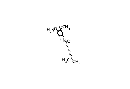 COc1cc(CNC(=O)CCCC/C=C/C(C)C)ccc1ON